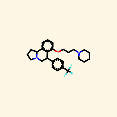 FC(F)(F)c1ccc(C2CN3CCCC3c3cccc(OCCCN4CCCCC4)c32)cc1